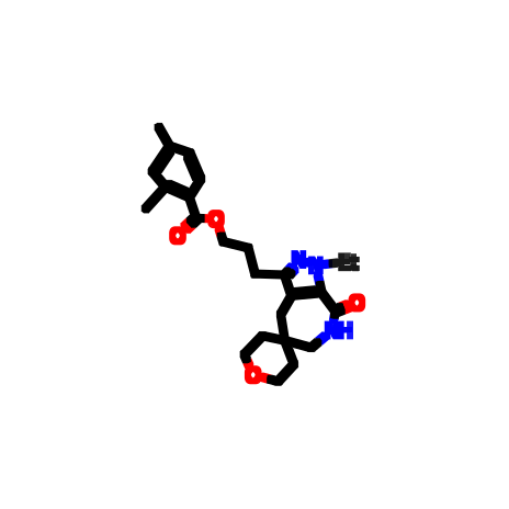 CCn1nc(CCCOC(=O)c2ccc(C)cc2C)c2c1C(=O)NCC1(CCOCC1)C2